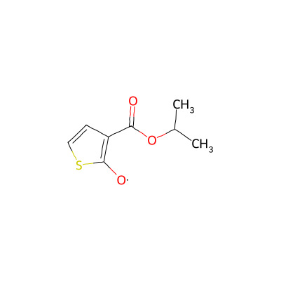 CC(C)OC(=O)c1ccsc1[O]